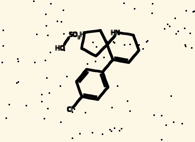 Clc1ccc(C2=CCCNC23CCCC3)cc1.O=S(=O)(O)O